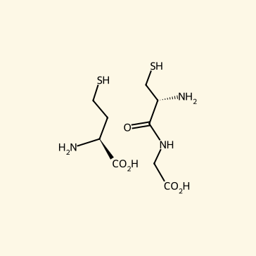 N[C@@H](CCS)C(=O)O.N[C@@H](CS)C(=O)NCC(=O)O